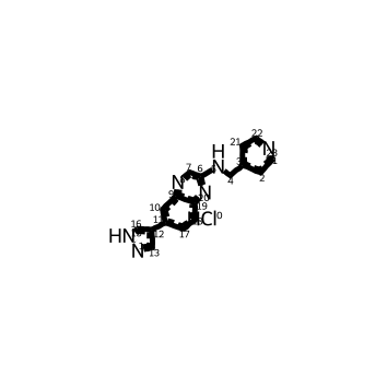 Cl.c1cc(CNc2cnc3cc(-c4cn[nH]c4)ccc3n2)ccn1